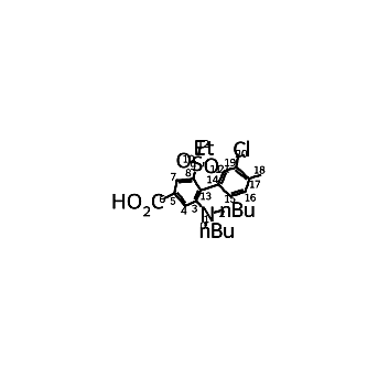 CCCCN(CCCC)c1cc(C(=O)O)cc(S(=O)(=O)CC)c1-c1ccc(C)c(Cl)c1